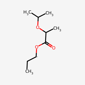 CC[CH]OC(=O)C(C)OC(C)C